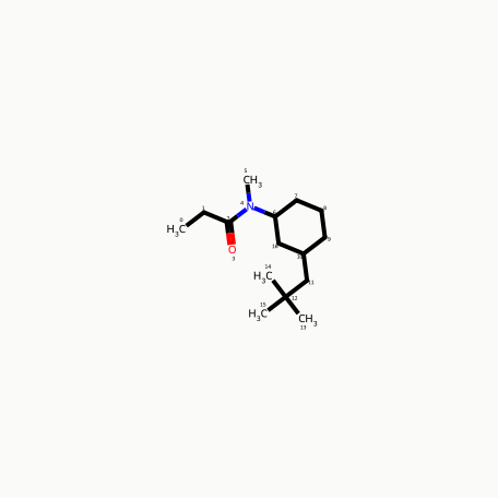 CCC(=O)N(C)C1CCCC(CC(C)(C)C)C1